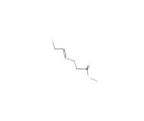 CCOC(=O)CC/C=C/CC=O